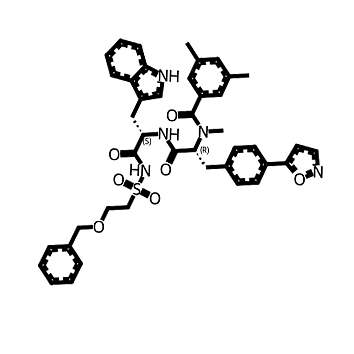 Cc1cc(C)cc(C(=O)N(C)[C@H](Cc2ccc(-c3ccno3)cc2)C(=O)N[C@@H](Cc2c[nH]c3ccccc23)C(=O)NS(=O)(=O)CCOCc2ccccc2)c1